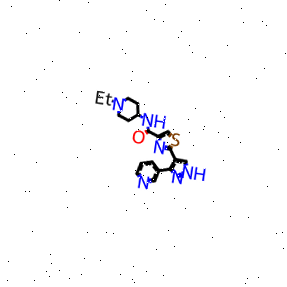 CCN1CCC(NC(=O)c2csc(-c3c[nH]nc3-c3cccnc3)n2)CC1